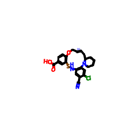 N#Cc1cc2c(cc1Cl)N1CCCCC1C/C=C/COc1ccc(C(=O)O)cc1SN2